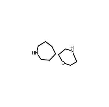 C1CCCNCC1.C1COCCN1